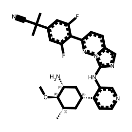 CO[C@H]1[C@H](N)C[C@H](c2ccncc2Nc2ncc3ccc(-c4c(F)cc(C(C)(C)C#N)cc4F)nn23)C[C@@H]1C